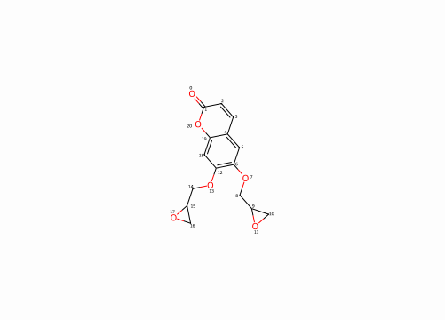 O=c1ccc2cc(OCC3CO3)c(OCC3CO3)cc2o1